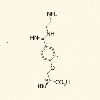 CC(C)(C)[C@@H](COc1ccc(C(=N)NCCN)cc1)C(=O)O